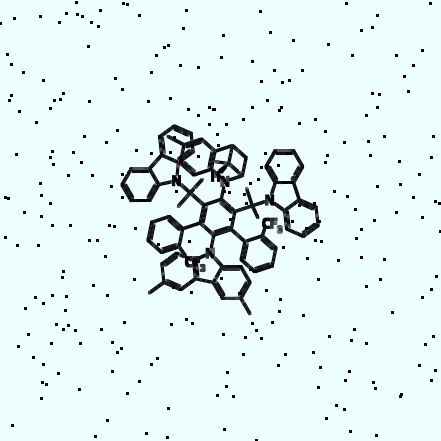 Cc1ccc2c(c1)C1CC([C@@H]1C)N2c1c(C(C)(C)n2c3ccccc3c3ccccc32)c(-c2ccccc2C(F)(F)F)c(-n2c3ccc(C)cc3c3cc(C)ccc32)c(-c2ccccc2C(F)(F)F)c1C(C)(C)n1c2ccccc2c2ccccc21